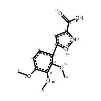 COc1ccc(-c2cc(C(=O)O)no2)c(OC)c1OC